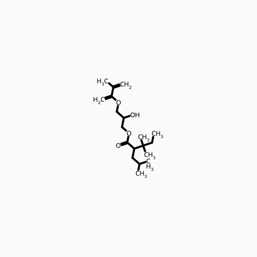 C=C(C)C(=C)OCC(O)COC(=O)C(CC(C)C)C(C)(C)CC